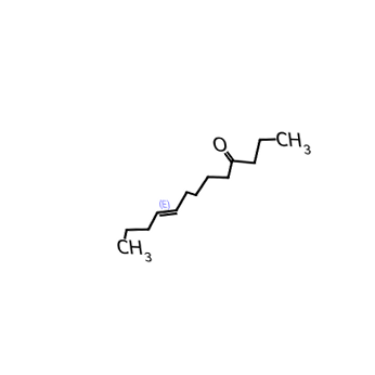 CCC/C=C/CCCCC(=O)CCC